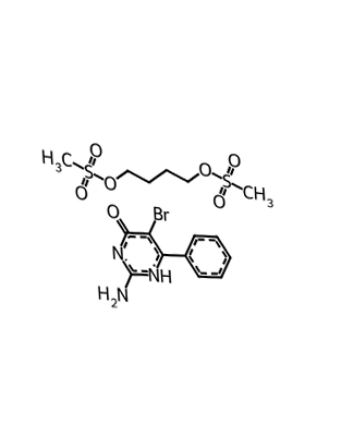 CS(=O)(=O)OCCCCOS(C)(=O)=O.Nc1nc(=O)c(Br)c(-c2ccccc2)[nH]1